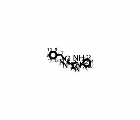 Nc1c(-c2nnc(Cc3ccccc3)o2)cnn1-c1ccccc1